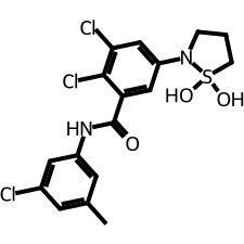 Cc1cc(Cl)cc(NC(=O)c2cc(N3CCCS3(O)O)cc(Cl)c2Cl)c1